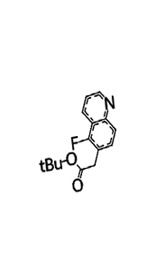 CC(C)(C)OC(=O)Cc1ccc2ncccc2c1F